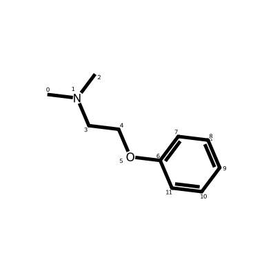 CN(C)CCOc1c[c]ccc1